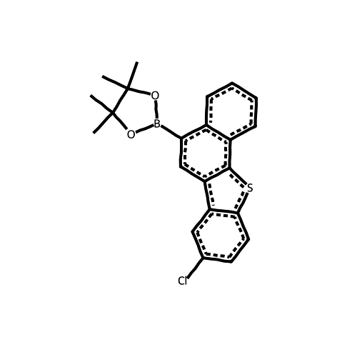 CC1(C)OB(c2cc3c4cc(Cl)ccc4sc3c3ccccc23)OC1(C)C